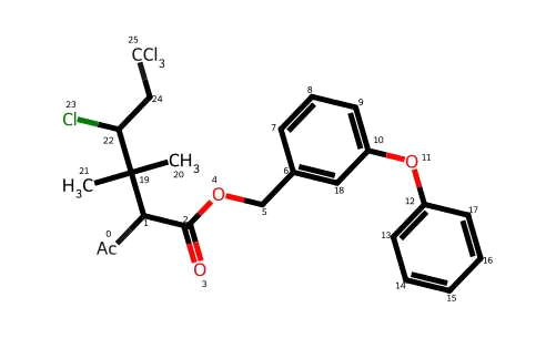 CC(=O)C(C(=O)OCc1cccc(Oc2ccccc2)c1)C(C)(C)C(Cl)CC(Cl)(Cl)Cl